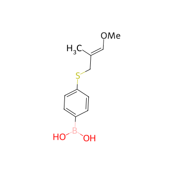 CO/C=C(\C)CSc1ccc(B(O)O)cc1